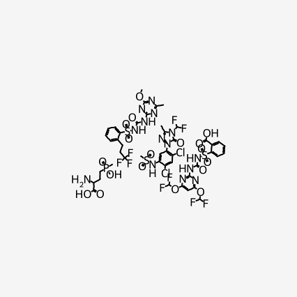 COc1nc(C)nc(NC(=O)NS(=O)(=O)c2ccccc2CCC(F)(F)F)n1.CP(=O)(O)CCC(N)C(=O)O.Cc1nn(-c2cc(NS(C)(=O)=O)c(Cl)cc2Cl)c(=O)n1C(F)F.O=C(Nc1nc(OC(F)F)cc(OC(F)F)n1)NS(=O)(=O)c1ccccc1C(=O)O